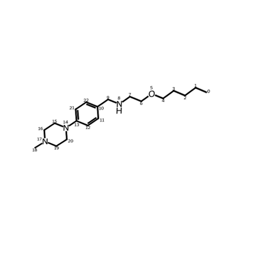 CCCCCOCCNCc1ccc(N2CCN(C)CC2)cc1